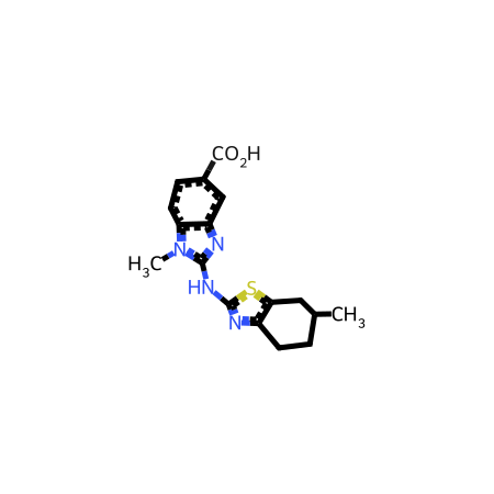 CC1CCc2nc(Nc3nc4cc(C(=O)O)ccc4n3C)sc2C1